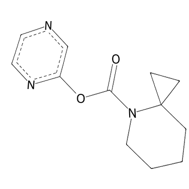 O=C(Oc1cnccn1)N1CCCCC12CC2